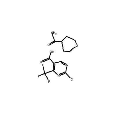 NC(=O)C1CCOCC1.O=C(O)c1cnc(Cl)nc1C(F)(F)F